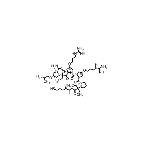 CCC(C)(C(=O)[C@@H]1C[C@@H](OCCCNC(=N)N)CN1C(=O)[C@@H]1C[C@@H](OCCCNC(=N)N)CN1C(=O)[C@@H]1CCCN1C(CC)(CC)C(=O)CNC(=O)CCCS)N1C[C@H](OCC(C)C)C[C@H]1C(N)=O